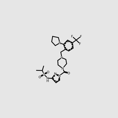 CC(C)S(=O)(=O)Nc1ccn(C(=O)N2CCN(Cc3ccc(C(F)(F)F)cc3N3CCCC3)CC2)n1